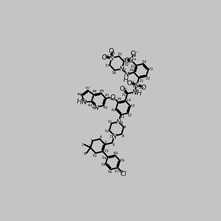 CC1(C)CCC(CN2CCN(c3ccc(C(=O)NS(=O)(=O)c4cccc([N+](=O)[O-])c4NN4CCS(=O)(=O)CC4)c(Oc4cnc5[nH]ccc5c4)c3)CC2)=C(c2ccc(Cl)cc2)C1